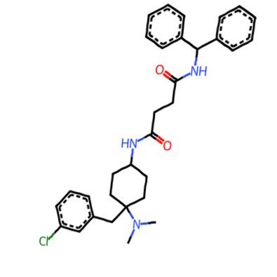 CN(C)C1(Cc2cccc(Cl)c2)CCC(NC(=O)CCC(=O)NC(c2ccccc2)c2ccccc2)CC1